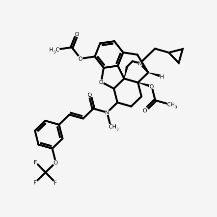 CC(=O)Oc1ccc2c3c1OC1C(N(C)C(=O)/C=C/c4cccc(OC(F)(F)F)c4)CC[C@@]4(OC(C)=O)[C@@H](C2)N(CC2CC2)CC[C@]314